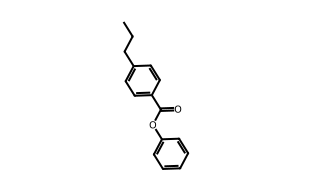 CCCc1ccc(C(=O)Oc2ccccc2)cc1